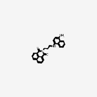 Nc1ccc(NCCCN2C(=O)c3cccc4cccc(c34)C2=O)c2ccccc12